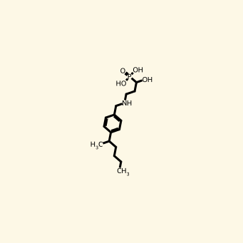 CCCCC(C)c1ccc(CNCCC(O)P(=O)(O)O)cc1